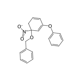 O=[N+]([O-])C1(OCc2ccccc2)C=C(Oc2ccccc2)C=CC1